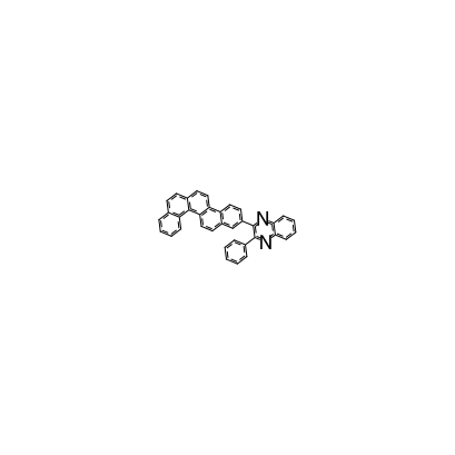 c1ccc(-c2nc3ccccc3nc2-c2ccc3c(ccc4c3ccc3ccc5ccccc5c34)c2)cc1